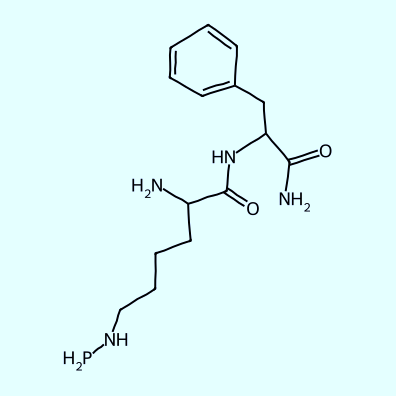 NC(=O)C(Cc1ccccc1)NC(=O)C(N)CCCCNP